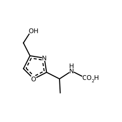 CC(NC(=O)O)c1nc(CO)co1